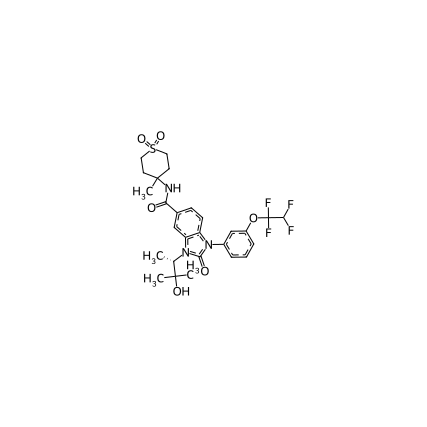 C[C@H](n1c(=O)n(-c2cccc(OC(F)(F)C(F)F)c2)c2ccc(C(=O)NC3(C)CCS(=O)(=O)CC3)cc21)C(C)(C)O